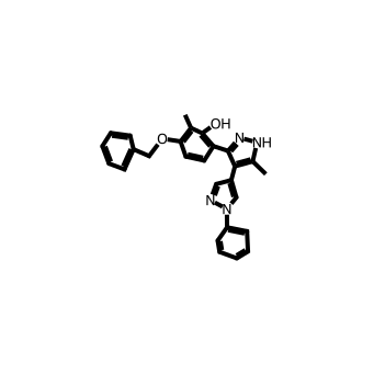 Cc1[nH]nc(-c2ccc(OCc3ccccc3)c(C)c2O)c1-c1cnn(-c2ccccc2)c1